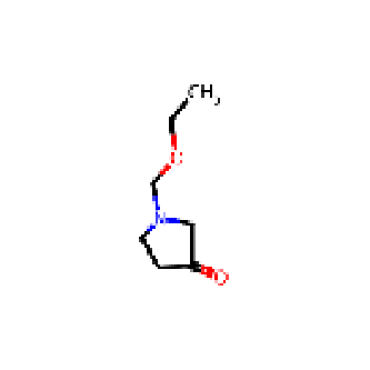 CCOCN1CCC(=O)C1